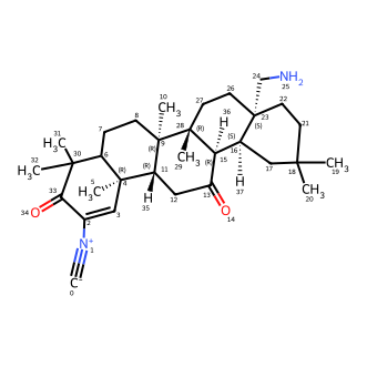 [C-]#[N+]C1=C[C@@]2(C)C(CC[C@]3(C)[C@@H]2CC(=O)[C@@H]2[C@@H]4CC(C)(C)CC[C@]4(CN)CC[C@]23C)C(C)(C)C1=O